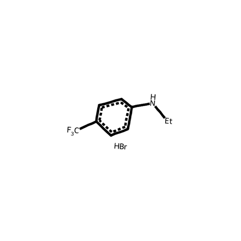 Br.CCNc1ccc(C(F)(F)F)cc1